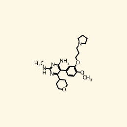 CNc1nc(N)c(-c2ccc(OC)c(OCCCN3CCCC3)c2)c(C2CCOCC2)n1